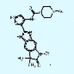 CCN1C(=O)C(C)(C)c2cc3[nH]c(-c4n[nH]cc4NC(=O)N4CCN(C(C)=O)CC4)nc3cc21